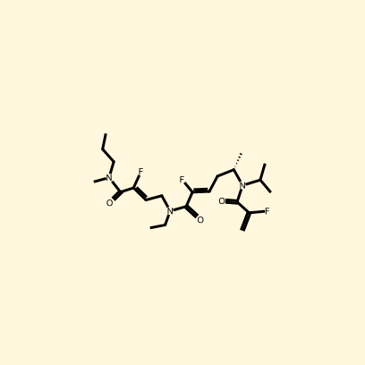 C=C(F)C(=O)N(C(C)C)[C@@H](C)C/C=C(\F)C(=O)N(CC)C/C=C(\F)C(=O)N(C)CCC